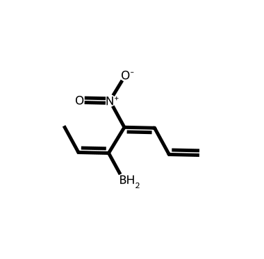 BC(=C/C)/C(=C\C=C)[N+](=O)[O-]